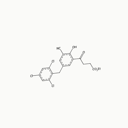 CCOC(=O)CCC(=O)c1cc(Cc2c(Cl)cc(Cl)cc2Cl)cc(C#N)c1O